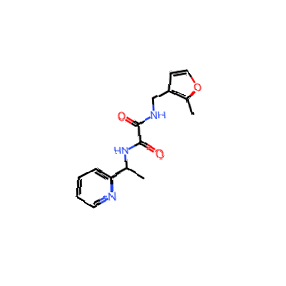 Cc1occc1CNC(=O)C(=O)NC(C)c1ccccn1